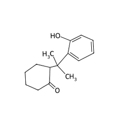 CC(C)(c1ccccc1O)C1CCCCC1=O